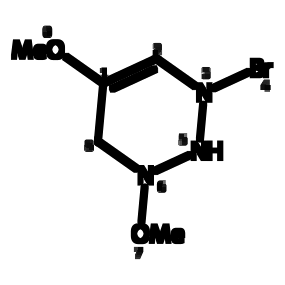 COC1=CN(Br)NN(OC)C1